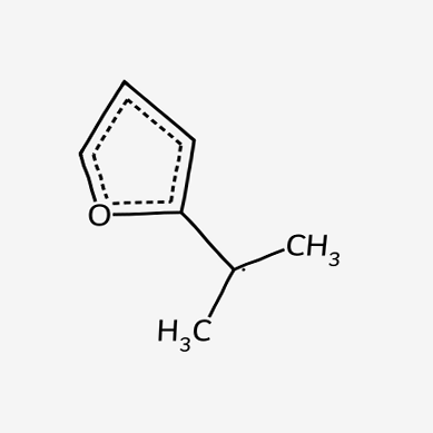 C[C](C)c1ccco1